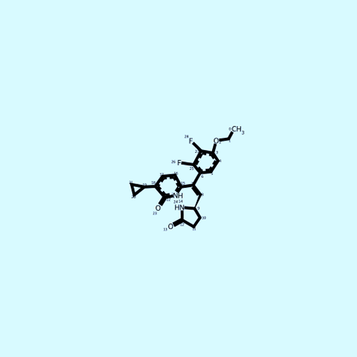 CCOc1ccc(/C(=C/[C@H]2CCC(=O)N2)c2ccc(C3CC3)c(=O)[nH]2)c(F)c1F